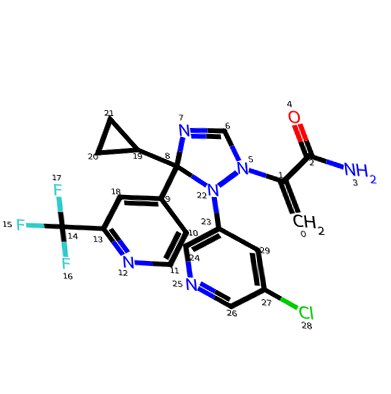 C=C(C(N)=O)N1C=NC(c2ccnc(C(F)(F)F)c2)(C2CC2)N1c1cncc(Cl)c1